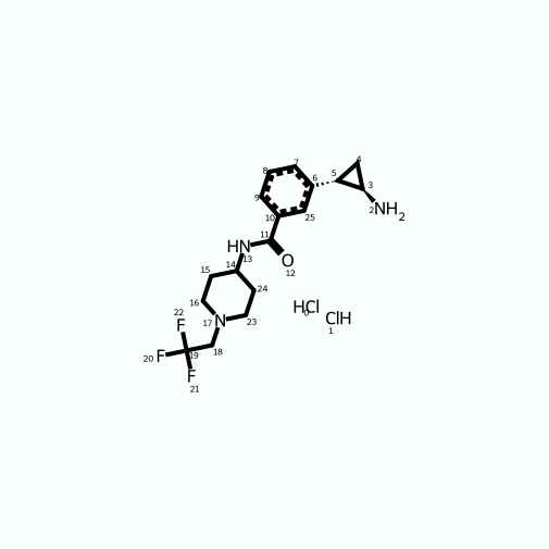 Cl.Cl.N[C@@H]1C[C@H]1c1cccc(C(=O)NC2CCN(CC(F)(F)F)CC2)c1